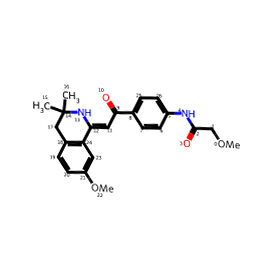 COCC(=O)Nc1ccc(C(=O)C=C2NC(C)(C)Cc3ccc(OC)cc32)cc1